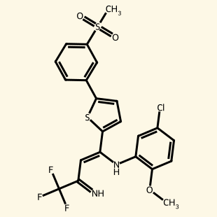 COc1ccc(Cl)cc1N/C(=C\C(=N)C(F)(F)F)c1ccc(-c2cccc(S(C)(=O)=O)c2)s1